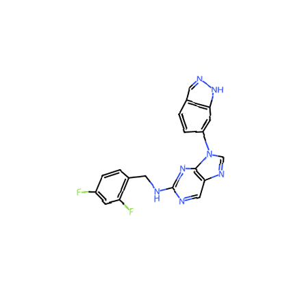 Fc1ccc(CNc2ncc3ncn(-c4ccc5cn[nH]c5c4)c3n2)c(F)c1